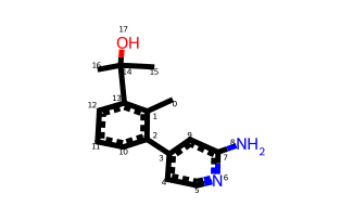 Cc1c(-c2ccnc(N)c2)cccc1C(C)(C)O